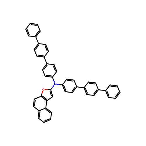 c1ccc(-c2ccc(-c3ccc(N(c4ccc(-c5ccc(-c6ccccc6)cc5)cc4)c4cc5c(ccc6ccccc65)o4)cc3)cc2)cc1